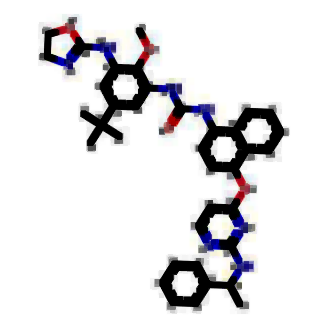 COc1c(NC(=O)Nc2ccc(Oc3ccnc(NC(C)c4ccccc4)n3)c3ccccc23)cc(C(C)(C)C)cc1NC1=NCCO1